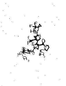 C[C@H]1CCCN1C(=O)c1nc(C(=O)NCC(C)(C)O)sc1-c1cnc(NCC2(C(F)(F)F)CC2)cc1C(F)(F)F